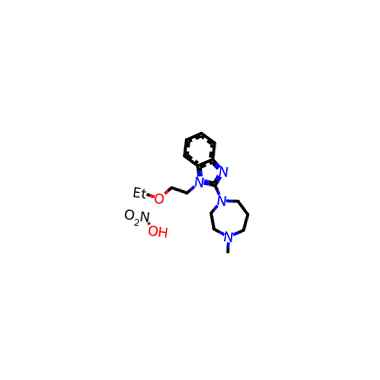 CCOCCn1c(N2CCCN(C)CC2)nc2ccccc21.O=[N+]([O-])O